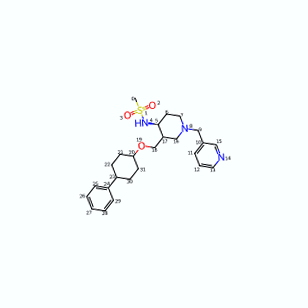 CS(=O)(=O)N[C@H]1CCN(Cc2cccnc2)CC1COC1CCC(c2ccccc2)CC1